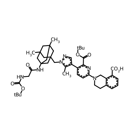 Cc1c(-c2ccc(N3CCc4cccc(C(=O)O)c4C3)nc2C(=O)OC(C)(C)C)cnn1CC12CC3(C)CC(C)(C1)CC(NC(=O)CNC(=O)OC(C)(C)C)(C3)C2